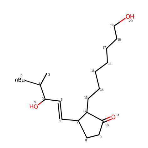 CCCCC(C)C(O)/C=C/C1CCC(=O)C1CCCCCCCO